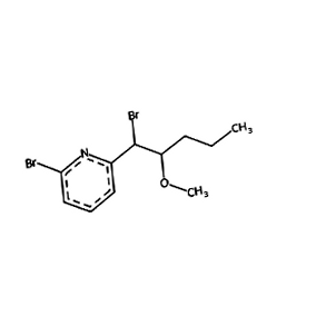 CCCC(OC)C(Br)c1cccc(Br)n1